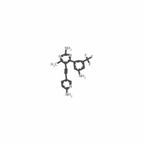 Cc1nc(N)nc(-c2cc(N)cc(C(F)(F)F)c2)c1C#Cc1ccc(N)nc1